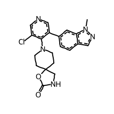 Cn1ncc2ccc(-c3cncc(Cl)c3N3CCC4(CC3)CNC(=O)O4)cc21